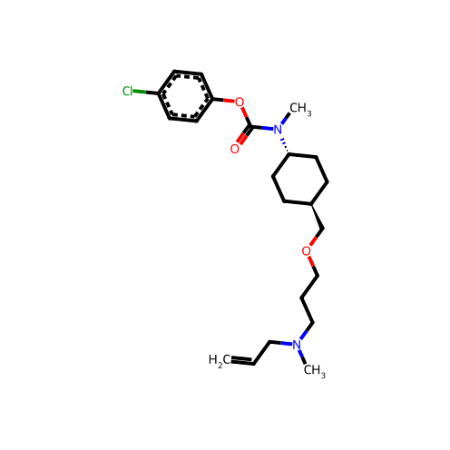 C=CCN(C)CCCOC[C@H]1CC[C@H](N(C)C(=O)Oc2ccc(Cl)cc2)CC1